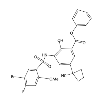 COc1cc(F)c(Br)cc1S(=O)(=O)Nc1cc(C2(C#N)CCC2)cc(C(=O)Oc2ccccc2)c1O